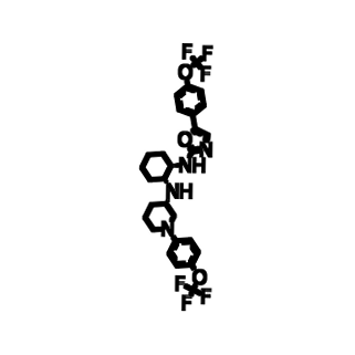 FC(F)(F)Oc1ccc(-c2cnc(N[C@@H]3CCCC[C@H]3N[C@H]3CCCN(c4ccc(OC(F)(F)F)cc4)C3)o2)cc1